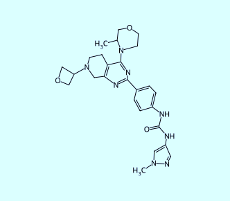 CC1COCCN1c1nc(-c2ccc(NC(=O)Nc3cnn(C)c3)cc2)nc2c1CCN(C1COC1)C2